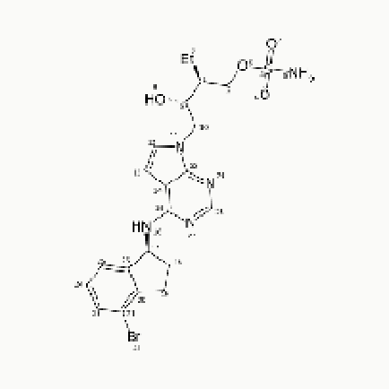 CC[C@@H](COS(N)(=O)=O)[C@@H](O)Cn1ccc2c(N[C@H]3CCc4c(Br)cccc43)ncnc21